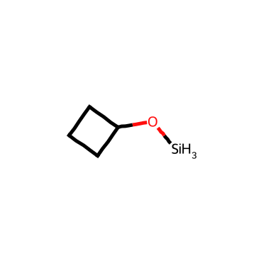 [SiH3]OC1CCC1